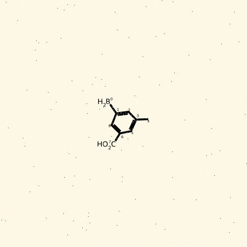 Bc1cc(C)cc(C(=O)O)c1